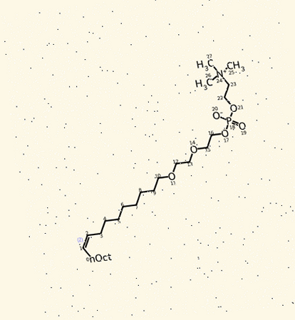 CCCCCCCC/C=C\CCCCCCCCOCCOCCOP(=O)([O-])OCC[N+](C)(C)C